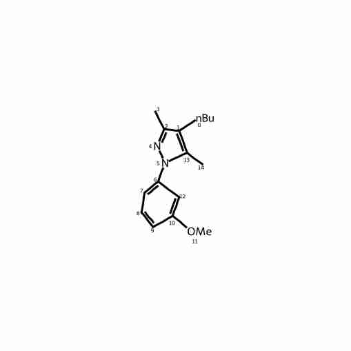 CCCCc1c(C)nn(-c2cccc(OC)c2)c1C